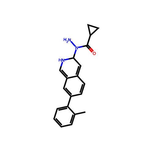 Cc1ccccc1-c1ccc2c(c1)=CNC(N(N)C(=O)C1CC1)C=2